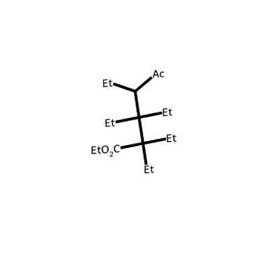 CCOC(=O)C(CC)(CC)C(CC)(CC)C(CC)C(C)=O